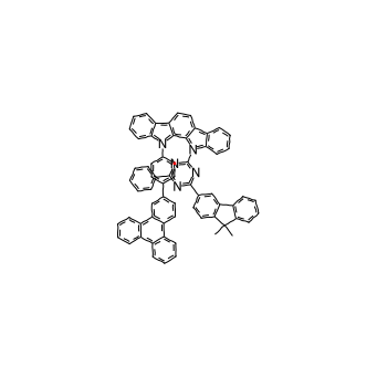 CC1(C)c2ccccc2-c2cc(-c3nc(-c4ccccc4)nc(-n4c5ccccc5c5ccc6c7ccccc7n(-c7ccc(-c8ccc9c%10ccccc%10c%10ccccc%10c9c8)cc7)c6c54)n3)ccc21